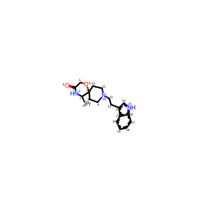 CC(C)C1NC(=O)COC12CCN(CCc1c[nH]c3ccccc13)CC2